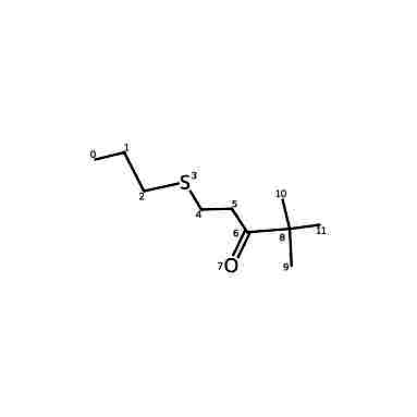 CCCSCCC(=O)C(C)(C)C